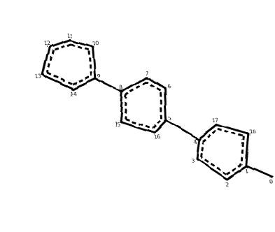 Cc1ccc(-c2ccc(-c3cc[c]cc3)cc2)cc1